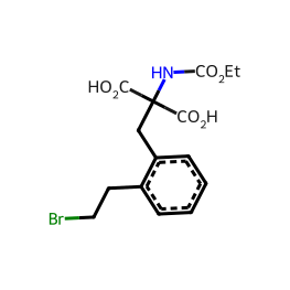 CCOC(=O)NC(Cc1ccccc1CCBr)(C(=O)O)C(=O)O